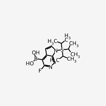 CC(C)S(C(C)C)(C(C)C)n1ccc2c(B(O)O)c(F)ncc21